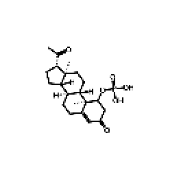 CC(=O)[C@H]1CC[C@H]2[C@@H]3CCC4=CC(=O)CC(OP(=O)(O)O)[C@]4(C)[C@H]3CC[C@]12C